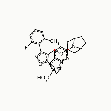 Cc1cccc(F)c1-c1noc(C2CC2)c1COC1CC2CCC(C1)N2c1ccc2nc(C(=O)O)cn2n1